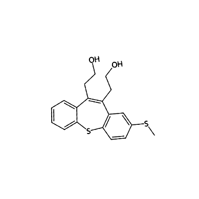 CSc1ccc2c(c1)C(CCO)=C(CCO)c1ccccc1S2